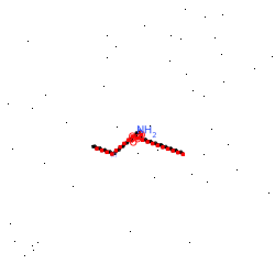 CCCCCCCCC=CCCCCCCCC(=O)OC(CCN)OC(=O)CCCCCCC/C=C\CCCCCCCC